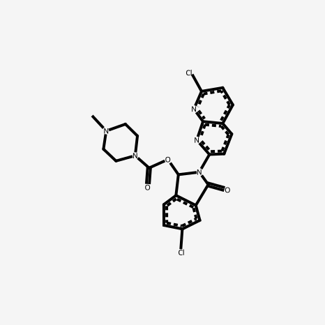 CN1CCN(C(=O)OC2c3ccc(Cl)cc3C(=O)N2c2ccc3ccc(Cl)nc3n2)CC1